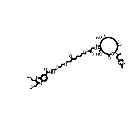 CSCc1nc2ccc(C(=O)NCCOCCOCCC(=O)CCCCCNC(=O)CO/N=C3/[C@H](C)[C@@H](O)[C@@H](C)CCC[C@@]4(C)OC4C[C@@H](/C(C)=C/c4cnc(C)s4)OC(=O)C[C@H](O)C3(C)C)cc2nc1CSC